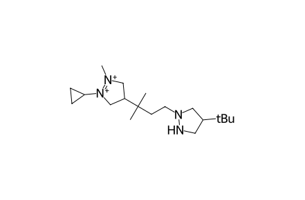 C[N+]1=[N+](C2CC2)CC(C(C)(C)CCN2CC(C(C)(C)C)CN2)C1